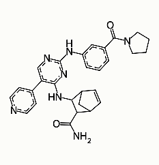 NC(=O)C1C2C=CC(C2)C1Nc1nc(Nc2cccc(C(=O)N3CCCC3)c2)ncc1-c1ccncc1